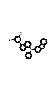 Clc1cc(Cl)cc(-c2cccc3c(N(c4ccccc4)c4ccc5oc6ccccc6c5c4)cccc23)c1